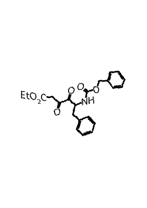 CCOC(=O)CC(=O)C(=O)C(Cc1ccccc1)NC(=O)OCc1ccccc1